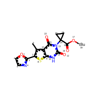 Cc1c(-c2ncco2)sc2[nH]c(=O)n(C3(C(=O)OC(C)(C)C)CC3)c(=O)c12